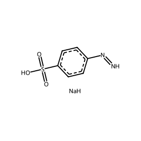 N=Nc1ccc(S(=O)(=O)O)cc1.[NaH]